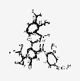 C[C@@H](NC(=O)c1cn(C2(C(F)F)CC2)c(=O)cc1N[C@H]1CCN(C(=O)O)C[C@H]1F)c1cccc(C(F)F)c1F